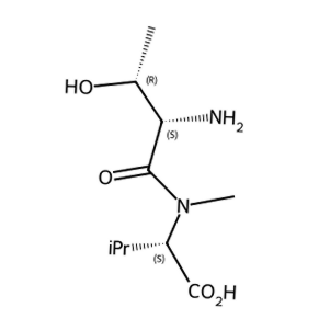 CC(C)[C@@H](C(=O)O)N(C)C(=O)[C@@H](N)[C@@H](C)O